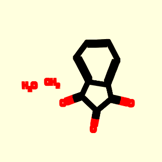 O.O.O=c1c(=O)c2ccccc2c1=O